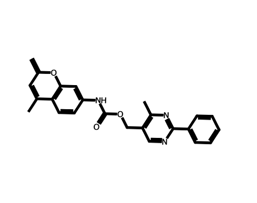 C=C1C=C(C)c2ccc(NC(=O)OCc3cnc(-c4ccccc4)nc3C)cc2O1